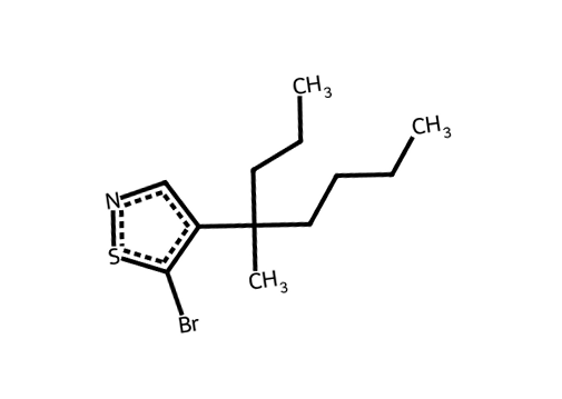 CCCCC(C)(CCC)c1cnsc1Br